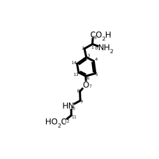 NC(Cc1ccc(OCCNCC(=O)O)cc1)C(=O)O